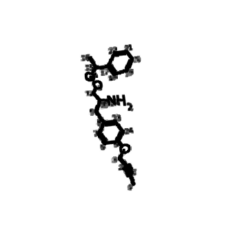 CC#CCOc1ccc(C[C@H](N)COOC(C)c2ccccc2)cc1